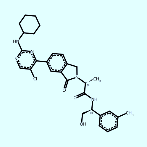 Cc1cccc([C@@H](CO)NC(=O)[C@@H](C)N2Cc3ccc(-c4nc(NC5CCCCC5)ncc4Cl)cc3C2=O)c1